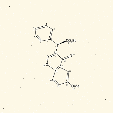 CCOC(=O)[C@H](c1ccccc1)c1coc2ccc(OC)cc2c1=O